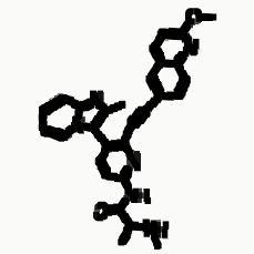 CNC(C)C(=O)Nc1ccc(-c2c(C)nc3ccccn23)c(C#Cc2ccc3nc(OC)ccc3c2)n1